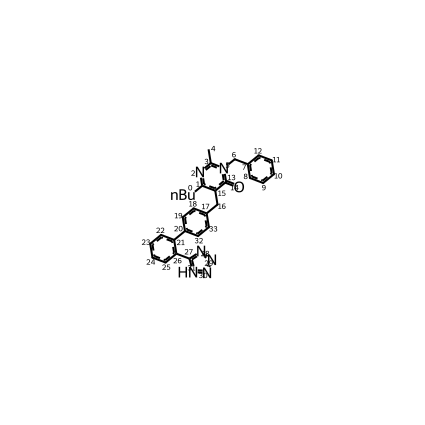 CCCCc1nc(C)n(Cc2ccccc2)c(=O)c1Cc1ccc(-c2ccccc2-c2nnn[nH]2)cc1